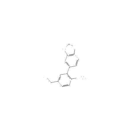 COc1ccc(CCl)cc1-c1ccc2c(c1)OCO2